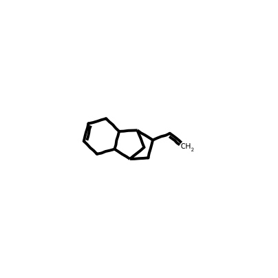 C=CC1CC2CC1C1CC=CCC21